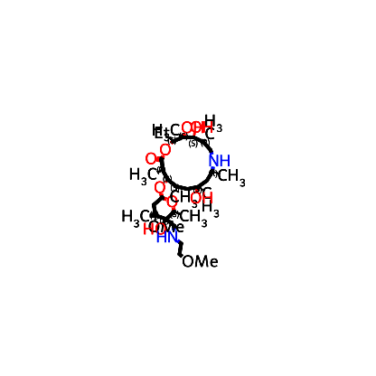 CC[C@@H]1OC(=O)[C@H](C)[C@H](OC2C[C@@](C)(OC)[C@](O)(CNCCOC)[C@H](C)O2)[C@@H](C)C[C@](C)(O)C[C@@H](C)NC[C@@H](C)[C@H](O)[C@]1(C)O